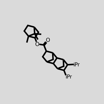 CC(C)C1C2CC(C1C(C)C)C1C3CC(CC3C(=O)OC3CC4CCC3(C)C4(C)C)C21